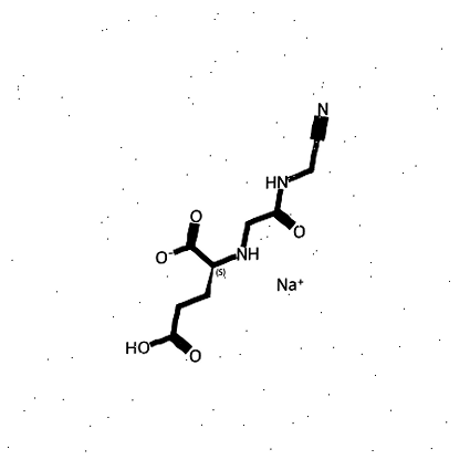 N#CCNC(=O)CN[C@@H](CCC(=O)O)C(=O)[O-].[Na+]